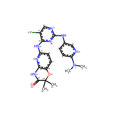 CN(C)c1ccc(Nc2ncc(F)c(Nc3ccc4c(n3)NC(=O)C(C)(C)O4)n2)cn1